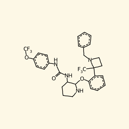 O=C(Nc1ccc(OC(F)(F)F)cc1)NC1CCCNC1Oc1ccccc1C1(C(F)(F)F)CCN1Cc1ccccc1